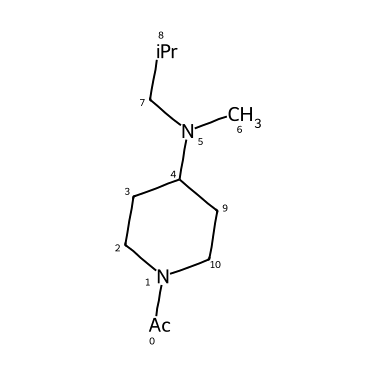 CC(=O)N1CCC(N(C)CC(C)C)CC1